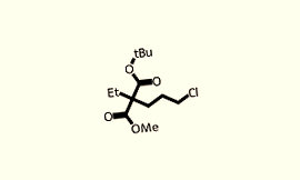 CCC(CCCCl)(C(=O)OC)C(=O)OC(C)(C)C